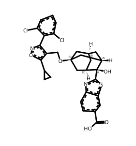 O=C(O)c1ccc2nc([C@]3(O)[C@@H]4C[C@@H]5C[C@H]3C[C@@](OCc3c(-c6c(Cl)cccc6Cl)noc3C3CC3)(C5)C4)sc2c1